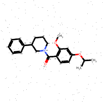 COc1cc(OC(C)C)ccc1C(=O)N1CCCC(c2ccccc2)C1